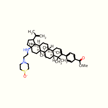 C=C(C)C1CCC2(NCCN3CC[S+]([O-])CC3)CC[C@]3(C)[C@H](CC[C@@H]4[C@@]5(C)CC=C(c6ccc(C(=O)OC)cc6)C(C)(C)[C@@H]5CC[C@]43C)[C@@H]12